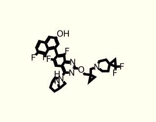 Oc1cc(-c2c(F)cc3c(N4CC5CCC(C4)N5)nc(OCC4(CN5CCC6(CC5)CC6(F)F)CC4)nc3c2F)c2c(F)c(F)ccc2c1